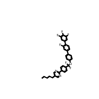 CCCCCc1cnc(-c2ccc(C(F)(F)Oc3ccc(-c4ccc(-c5cc(F)c(F)c(F)c5)c(F)c4)cc3)cc2)nc1